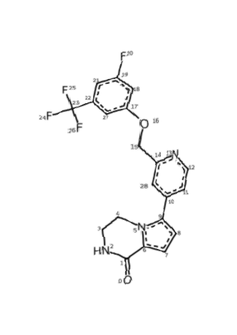 O=C1NCCn2c1ccc2-c1ccnc(COc2cc(F)cc(C(F)(F)F)c2)c1